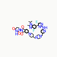 Cc1nc2c(F)cc(-c3nc(Nc4ccc(CN5CCN(CC6CCN(c7ccc8c(c7)C(=O)N(N7CCC(=O)NC7=O)C8=O)CC6)CC5)cn4)ncc3F)cc2n1C(C)C